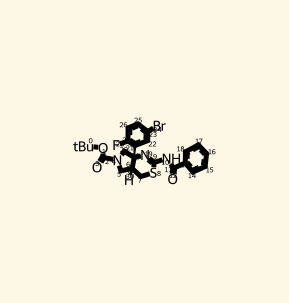 CC(C)(C)OC(=O)N1C[C@H]2CSC(NC(=O)c3ccccc3)=N[C@@]2(c2cc(Br)ccc2F)C1